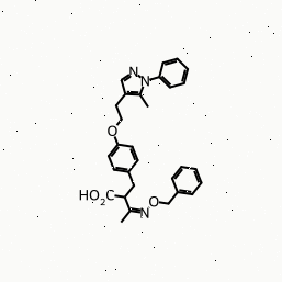 CC(=NOCc1ccccc1)C(Cc1ccc(OCCc2cnn(-c3ccccc3)c2C)cc1)C(=O)O